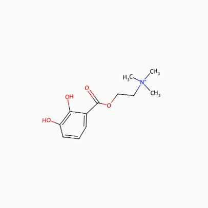 C[N+](C)(C)CCOC(=O)c1cccc(O)c1O